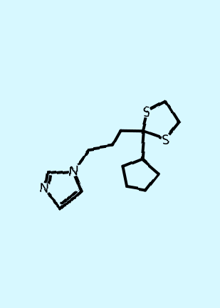 c1cn(CCCC2(C3CCCC3)SCCS2)cn1